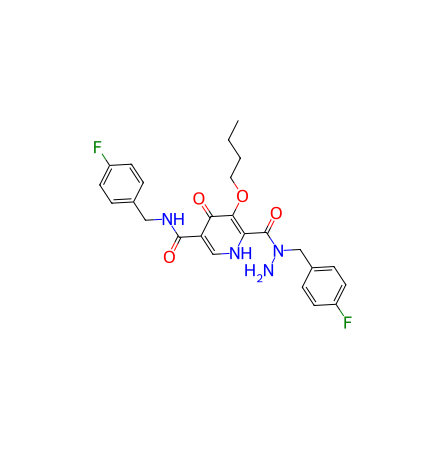 CCCCOc1c(C(=O)N(N)Cc2ccc(F)cc2)[nH]cc(C(=O)NCc2ccc(F)cc2)c1=O